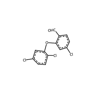 O=Cc1ccc(Cl)cc1Oc1cc(Cl)ccc1Cl